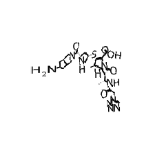 C[C@@H](NC(=O)Cn1cnnn1)[C@H]1C(=O)N2C(C(=O)O)=C(S[C@@H]3CN[C@H](C(=O)N4CC5CC(N)CC5C4)C3)[C@H](C)[C@H]12